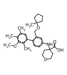 COc1c(C)c(C)cc(-c2ccc(NC3(C(=O)O)CCOCC3)cc2COC2(C)CCCC2)c1C